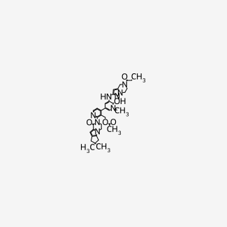 CCC(=O)N1CCn2nc(NC3=CC(c4ccnc(N5CCn6c(cc7c6CC(C)(C)C7)C5=O)c4COC(C)=O)=CN(C)C3O)cc2C1